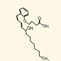 CCCCCCCC[C@H](O)/C=C/C=C\c1ccccc1OCCCC(=O)O